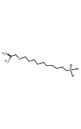 C=C(C)COCCCCCCCCCC[Si](Br)(Br)Br